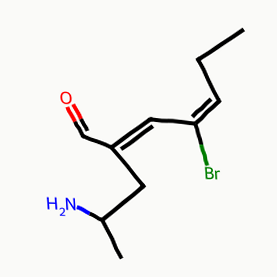 CC/C=C(Br)\C=C(\C=O)CC(C)N